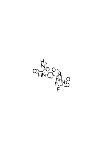 NC(=O)C(Nc1ccc2c(c1)OCCn1cc(N3C(=O)OCC3C(F)F)nc1-2)C1COC1